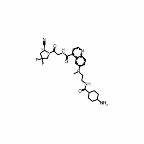 CN(CCNC(=O)C1CCC(N)CC1)c1ccc2nccc(C(=O)NCC(=O)N3CC(F)(F)C[C@H]3C#N)c2c1